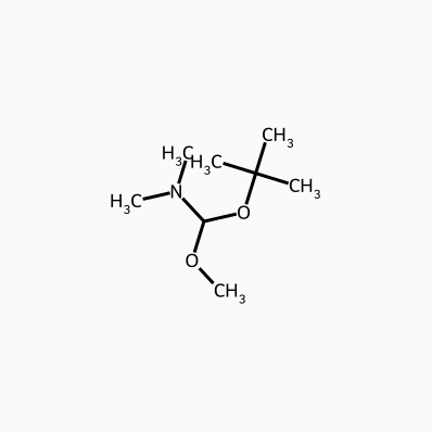 COC(OC(C)(C)C)N(C)C